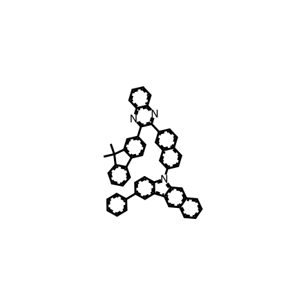 CC1(C)c2ccccc2-c2ccc(-c3nc4ccccc4nc3-c3ccc4ccc(-n5c6ccc(-c7ccccc7)cc6c6cc7ccccc7cc65)cc4c3)cc21